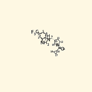 Nc1cc(C(F)(F)F)ccc1NC[C@@H]1CCN(C(=O)C2CC2)C1